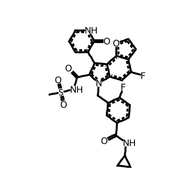 CS(=O)(=O)NC(=O)c1c(-c2ccc[nH]c2=O)c2c3occc3c(F)cc2n1Cc1cc(C(=O)NC2CC2)ccc1F